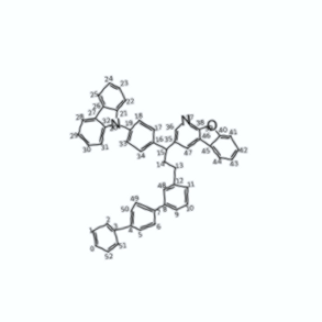 c1ccc(-c2ccc(-c3cccc(CCC(c4ccc(-n5c6ccccc6c6ccccc65)cc4)c4cnc5oc6ccccc6c5c4)c3)cc2)cc1